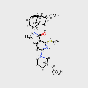 CCCSc1nc(N2CCC[C@@H](CC(=O)O)C2)ccc1C(=O)N(C)[C@@H]1CCC2C[C@@]3(OC)CC2CC1C3